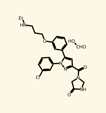 CCNCCCOc1cccc(-c2cc(C(=O)N3CNC(=O)C3)nn2-c2cccc(Cl)c2)c1.O=CO